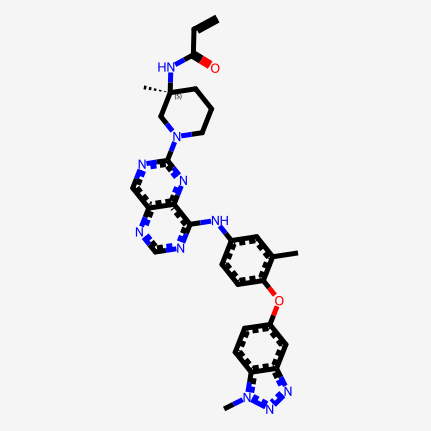 C=CC(=O)N[C@@]1(C)CCCN(c2ncc3ncnc(Nc4ccc(Oc5ccc6c(c5)nnn6C)c(C)c4)c3n2)C1